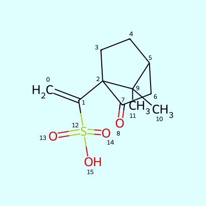 C=C(C12CCC(CC1=O)C2(C)C)S(=O)(=O)O